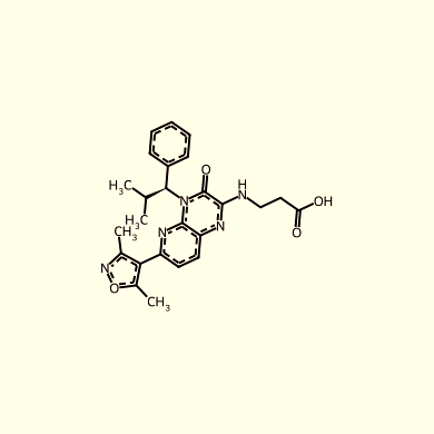 Cc1noc(C)c1-c1ccc2nc(NCCC(=O)O)c(=O)n([C@H](c3ccccc3)C(C)C)c2n1